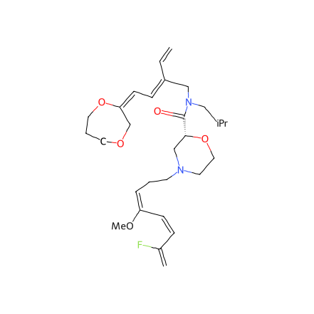 C=C/C(=C\C=C1/COCCCO1)CN(CC(C)C)C(=O)[C@H]1CN(CC/C=C(\C=C/C(=C)F)OC)CCO1